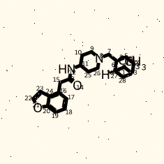 CC1(C)C2CCC(CN3CCC(NC(=O)Cc4cccc5occc45)CC3)[C@H]1C2